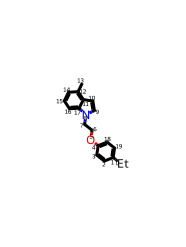 CCc1ccc(OCCn2ccc3c(C)cccc32)cc1